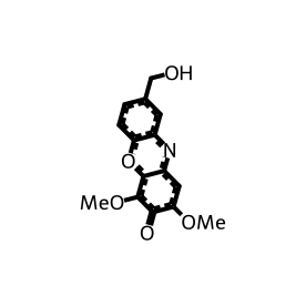 COc1cc2nc3cc(CO)ccc3oc-2c(OC)c1=O